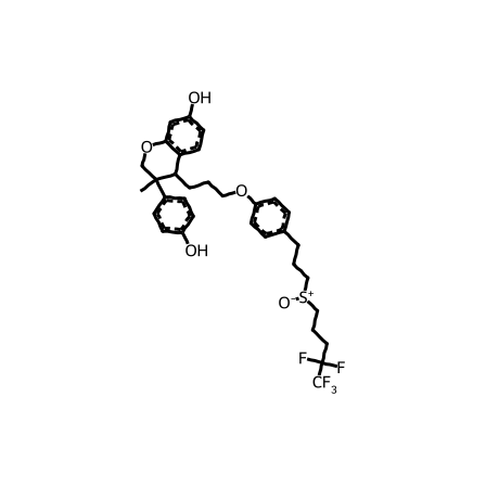 CC1(c2ccc(O)cc2)COc2cc(O)ccc2C1CCCOc1ccc(CCC[S+]([O-])CCCC(F)(F)C(F)(F)F)cc1